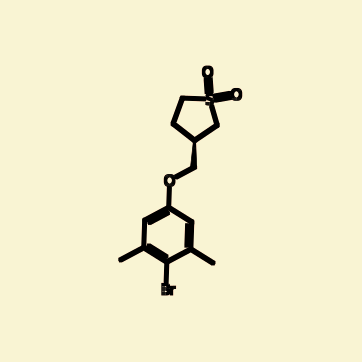 Cc1cc(OC[C@H]2CCS(=O)(=O)C2)cc(C)c1Br